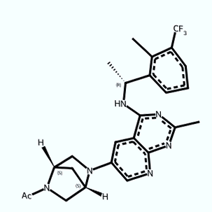 CC(=O)N1C[C@@H]2C[C@H]1CN2c1cnc2nc(C)nc(N[C@H](C)c3cccc(C(F)(F)F)c3C)c2c1